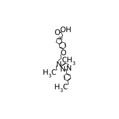 CCCN(CCCOc1ccc2c(c1)CC[C@H]2CC(=O)O)c1nc(-c2ccc(CC)cc2)ncc1C